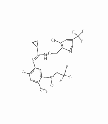 Cc1cc(F)c(/N=C(\NCCc2ncc(C(F)(F)F)cc2Cl)C2CC2)cc1[S+]([O-])CC(F)(F)F